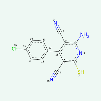 N#Cc1c(N)nc(S)c(C#N)c1-c1ccc(Cl)cc1